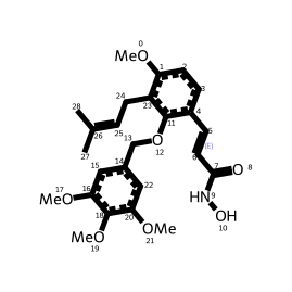 COc1ccc(/C=C/C(=O)NO)c(OCc2cc(OC)c(OC)c(OC)c2)c1CC=C(C)C